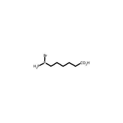 O=C(O)CCCCCP(P)Br